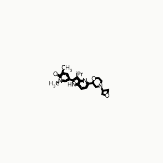 Cc1cc(-c2[nH]c3ccc(C4CN(C5COC5)CCO4)nc3c2C(C)C)cn(C)c1=O